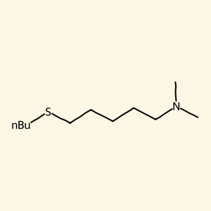 CCCCSCCCCCN(C)C